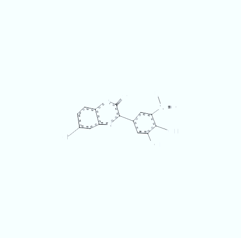 O=c1oc2ccc(Cl)cc2nc1-c1cc(O)c(O)c([N+](=O)[O-])c1